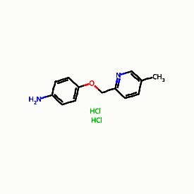 Cc1ccc(COc2ccc(N)cc2)nc1.Cl.Cl